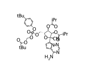 CC(C)C(=O)O[C@H]1[C@@H](OC(=O)C(C)C)[C@](C#N)(c2ccc3c(N)ncnn23)O[C@@H]1COP(=O)(OCOC(=O)C(C)(C)C)Oc1ccc(C(C)(C)C)cc1